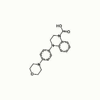 O=C(O)N1CCN(c2ccc(N3CCOCC3)cc2)c2ccccc21